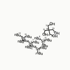 CCC[CH2][Sn]([CH2]CCC)[CH2]CCC.CCC[CH2][Sn]([CH2]CCC)[CH2]CCC.CCC[CH2][Sn]([CH2]CCC)[CH2]CCC.CCC[CH2][Sn]([CH2]CCC)[CH2]CCC.OCC(CO)(CO)CO